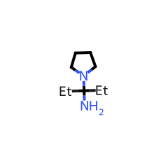 CCC(N)(CC)N1CCCC1